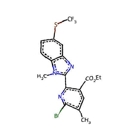 CCOC(=O)c1cc(C)c(Br)nc1-c1nc2cc(SC(F)(F)F)ccc2n1C